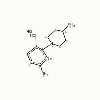 Cl.Cl.Nc1nccc(N2CCC(N)CC2)n1